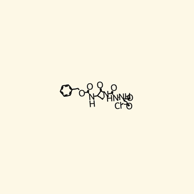 O=C(NC1CN(C(=O)NNS(=O)(=O)Cl)C1=O)OCc1ccccc1